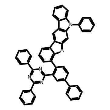 c1ccc(-c2ccc(-c3cccc4c3oc3cc5c(cc34)c3ccccc3n5-c3ccccc3)c(-c3nc(-c4ccccc4)nc(-c4ccccc4)n3)c2)cc1